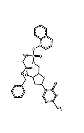 C[C@H](NP(=O)(OCC1SC(n2cnc(N)nc2=O)CC1O)Oc1cccc2ccccc12)C(=O)OCc1ccccc1